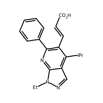 CCn1ncc2c(C(C)C)c(/C=C/C(=O)O)c(-c3ccccc3)nc21